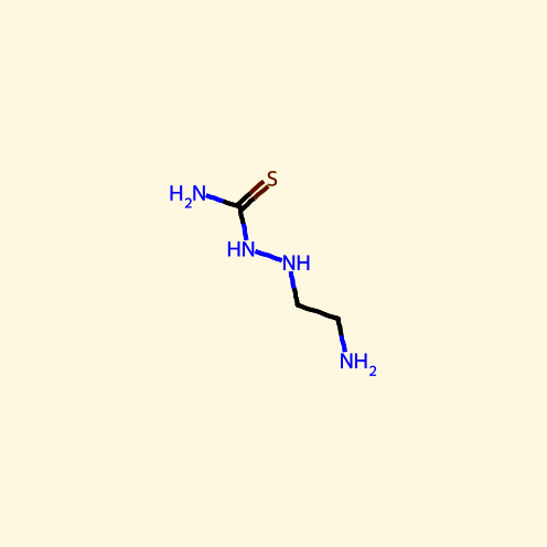 NCCNNC(N)=S